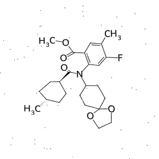 COC(=O)c1cc(C)c(F)cc1N(C(=O)[C@H]1CC[C@H](C)CC1)C1CCC2(CC1)OCCO2